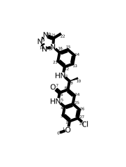 COc1cc2[nH]c(=O)c([C@H](C)Nc3cccc(-n4nnnc4C)c3)cc2cc1Cl